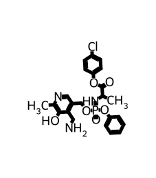 Cc1ncc(COP(=O)(NC(C)C(=O)Oc2ccc(Cl)cc2)Oc2ccccc2)c(CN)c1O